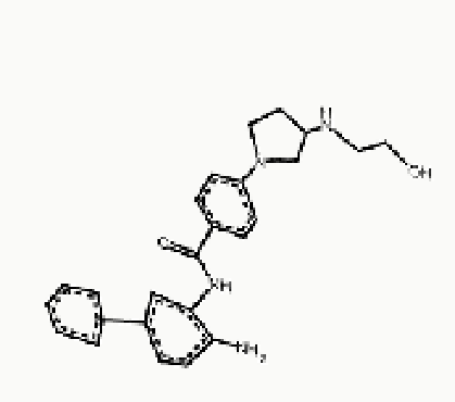 Nc1ccc(-c2ccccc2)cc1NC(=O)c1ccc(N2CCC(NCCO)C2)cc1